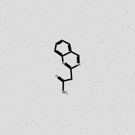 NC(=O)Cc1ncc2ccccc2n1